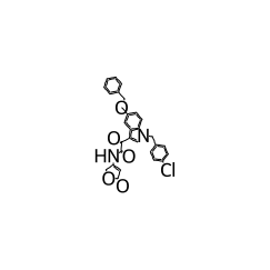 O=C1C=C(NC(=O)C(=O)c2cn(Cc3ccc(Cl)cc3)c3ccc(OCc4ccccc4)cc23)CO1